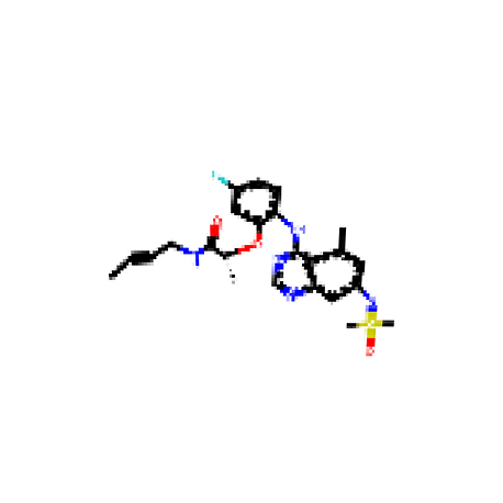 CC#CCNC(=O)[C@@H](C)Oc1cc(F)ccc1Nc1ncnc2cc(N=S(C)(C)=O)cc(C)c12